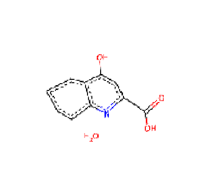 O.O=C(O)c1cc(O)c2ccccc2n1